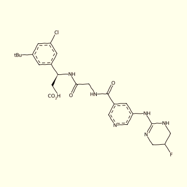 CC(C)(C)c1cc(Cl)cc([C@H](CC(=O)O)NC(=O)CNC(=O)c2cncc(NC3=NCC(F)CN3)c2)c1